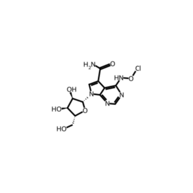 NC(=O)c1cn([C@@H]2O[C@H](CO)[C@@H](O)[C@H]2O)c2ncnc(NOCl)c12